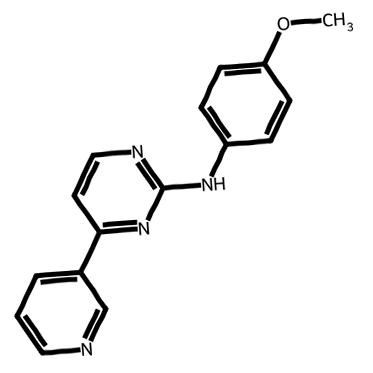 COc1ccc(Nc2nccc(-c3cccnc3)n2)cc1